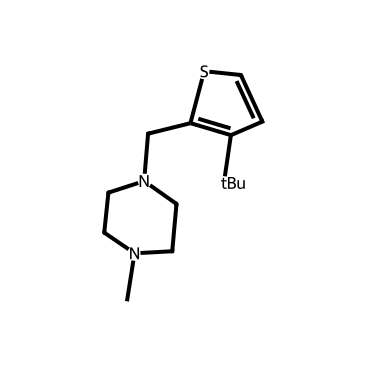 CN1CCN(Cc2sccc2C(C)(C)C)CC1